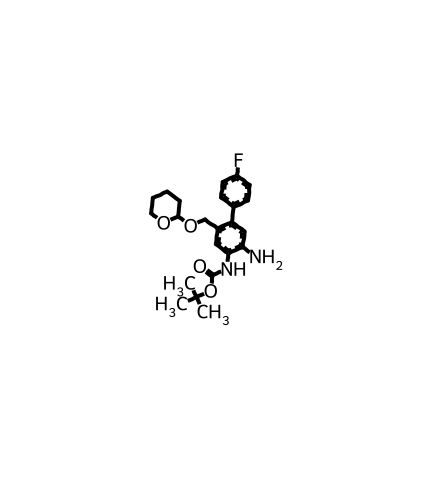 CC(C)(C)OC(=O)Nc1cc(COC2CCCCO2)c(-c2ccc(F)cc2)cc1N